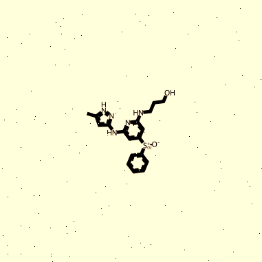 Cc1cc(Nc2cc([S@+]([O-])c3ccccc3)cc(NCCCO)n2)n[nH]1